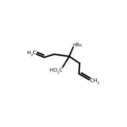 C=CCC(CC=C)(CCCC)C(=O)O